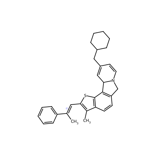 C/C(=C\c1sc2c3c(ccc2c1C)CN1C=CC(CC2CCCCC2)=CC31)c1ccccc1